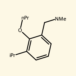 CCCOc1c(CNC)cccc1C(C)C